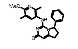 COc1nc(C)c(Nc2nc(=O)cc3n2C(c2ccccc2)CC3)cc1C